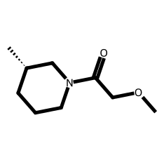 COCC(=O)N1CCC[C@H](C)C1